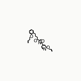 C=CCCOc1ccccc1CCCC(=O)c1coc(-c2ccnc(OCC=C)c2)n1